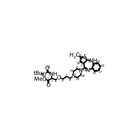 COC(=O)C(COCCCN1CCN(C2=Nc3ccccc3Nc3sc(C)cc32)CC1)NC(=O)OC(C)(C)C